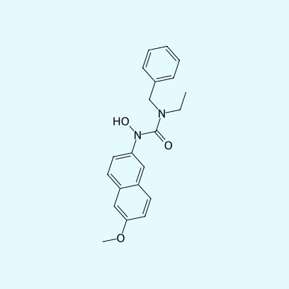 CCN(Cc1ccccc1)C(=O)N(O)c1ccc2cc(OC)ccc2c1